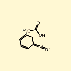 CC(=O)O.[N-]=[N+]=C1C=CC=CC1